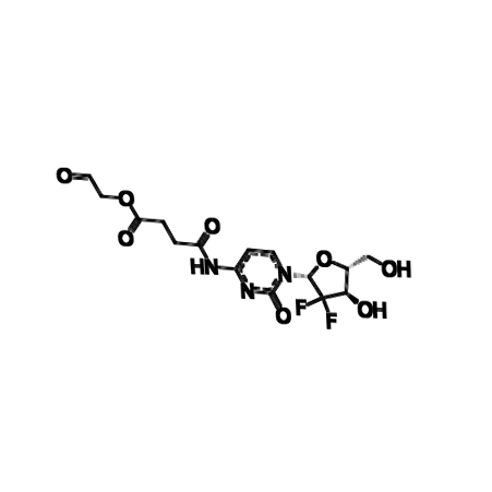 O=CCOC(=O)CCC(=O)Nc1ccn([C@@H]2O[C@H](CO)[C@@H](O)C2(F)F)c(=O)n1